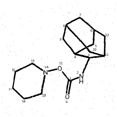 O=C(NC1C2CC3CC(C2)CC1C3)ON1CCCCC1